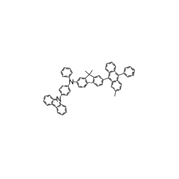 Cc1ccc2c(-c3ccccc3)c3ccccc3c(-c3ccc4c(c3)C(C)(C)c3cc(N(c5ccccc5)c5ccc(-n6c7ccccc7c7ccccc76)cc5)ccc3-4)c2c1